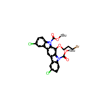 CC(C)(C)OC(=O)n1c2ccc(Cl)cc2c2cc3c4cc(Cl)ccc4n(C(=O)OC(C)(C)C)c3c(OCCCBr)c21